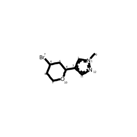 Cn1cc(C2CC(Br)CCO2)cn1